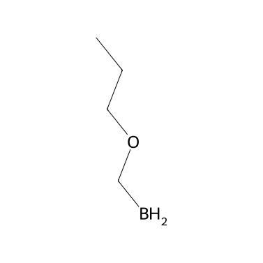 BCOCCC